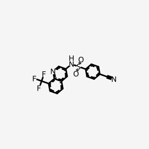 N#Cc1ccc(S(=O)(=O)Nc2cnc3c(C(F)(F)F)cccc3c2)cc1